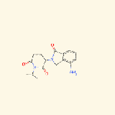 CC(C)N1C(=O)CCC(N2Cc3c(N)cccc3C2=O)C1=O